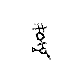 CC(O)(c1ccc(S(=O)(=O)c2sc(C#N)cc2C2CC2)cc1)C(F)(F)F